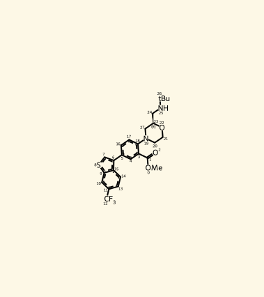 COC(=O)c1cc(-c2csc3cc(C(F)(F)F)ccc23)ccc1N1CCO[C@H](CNC(C)(C)C)C1